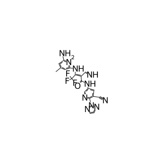 Cc1cc(N)nc(N/C(=C(\C=N)C(=O)Nc2cnc(-n3nccn3)c(C#N)c2)C(F)(F)F)c1